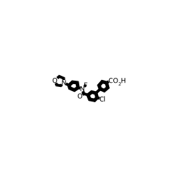 O=C(O)c1ccc(-c2cc(C(=O)N(F)c3ccc(N4CCOCC4)cc3)ccc2Cl)cc1